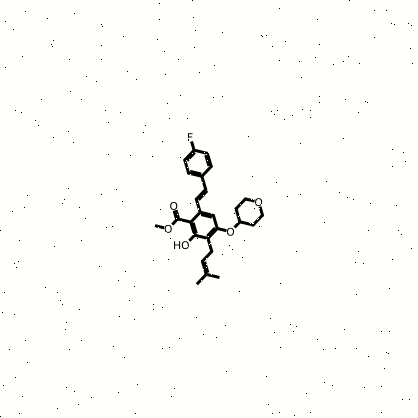 COC(=O)c1c(C=Cc2ccc(F)cc2)cc(OC2CCOCC2)c(CC=C(C)C)c1O